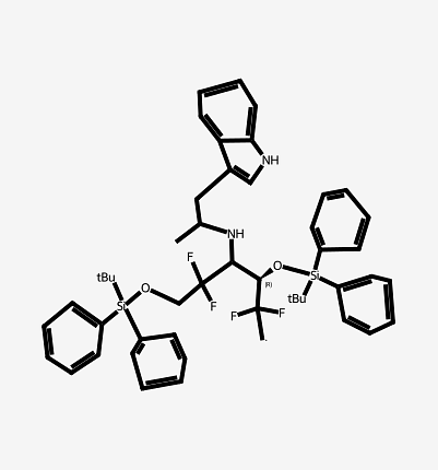 [CH2]C(F)(F)[C@H](O[Si](c1ccccc1)(c1ccccc1)C(C)(C)C)C(NC(C)Cc1c[nH]c2ccccc12)C(F)(F)CO[Si](c1ccccc1)(c1ccccc1)C(C)(C)C